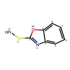 [CH2]CCSc1nc2ccccc2o1